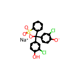 O=S1(=O)OC(c2ccc([O-])c(Cl)c2)(c2ccc(O)c(Cl)c2)c2ccccc21.[Na+]